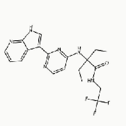 CCC(CC)(Nc1ccnc(-c2c[nH]c3ncccc23)n1)C(=O)NCC(F)(F)F